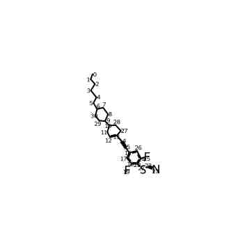 CCCCCCC1CCC(C2CC=C(C#Cc3cc(F)c(SC#N)c(F)c3)CC2)CC1